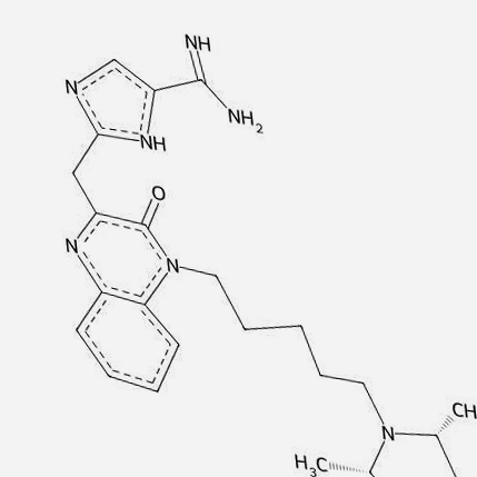 C[C@@H]1CCC[C@H](C)N1CCCCCn1c(=O)c(Cc2ncc(C(=N)N)[nH]2)nc2ccccc21